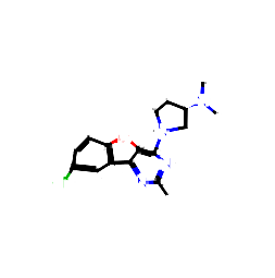 Cc1nc(N2CC[C@@H](N(C)C)C2)c2oc3ccc(Cl)cc3c2n1